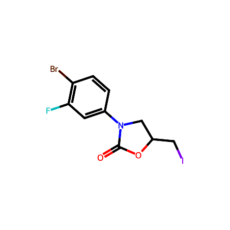 O=C1OC(CI)CN1c1ccc(Br)c(F)c1